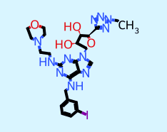 CCn1nnc([C@H]2O[C@@H](n3cnc4c(NCc5cccc(I)c5)nc(NCCN5CCOCC5)nc43)[C@H](O)[C@@H]2O)n1